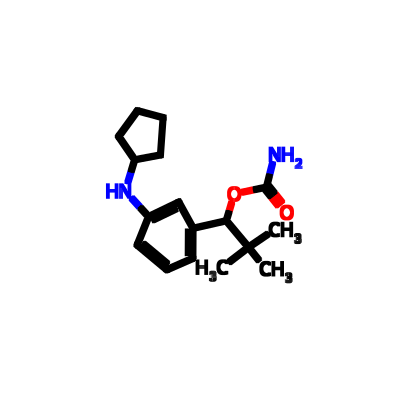 CC(C)(C)C(OC(N)=O)c1cccc(NC2CCCC2)c1